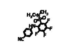 CN(C)S(=O)(=O)c1c(F)c(F)c(F)c(F)c1Nc1ccc(C#N)cc1